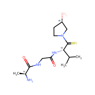 B[C@@H]1CCN(C(=S)[C@@H](NC(=O)CNC(=O)[C@H](C)N)C(C)C)C1